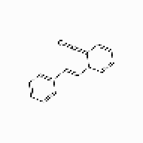 O=C=C1C=CC=CC1C=Cc1ccccc1